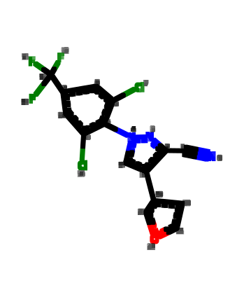 N#Cc1nn(-c2c(Cl)cc(C(F)(F)F)cc2Cl)cc1-c1ccoc1